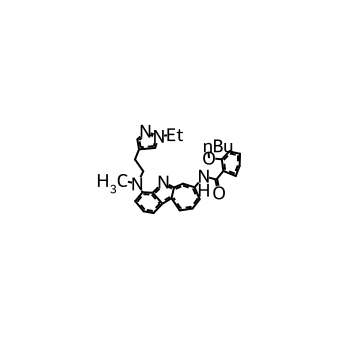 CCCCOc1ccccc1C(=O)Nc1cccc2c3cccc(N(C)CCc4cnn(CC)c4)c3nc-2c1